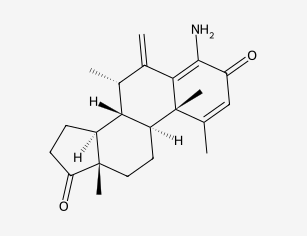 C=C1C2=C(N)C(=O)C=C(C)[C@]2(C)[C@H]2CC[C@]3(C)C(=O)CC[C@H]3[C@@H]2[C@@H]1C